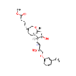 Cc1cccc(OC[C@H](O)/C=C/[C@@H]2[C@H]3CC[C@H](CCCC(=O)OC(C)C)CO[C@H]3C[C@H]2O)c1